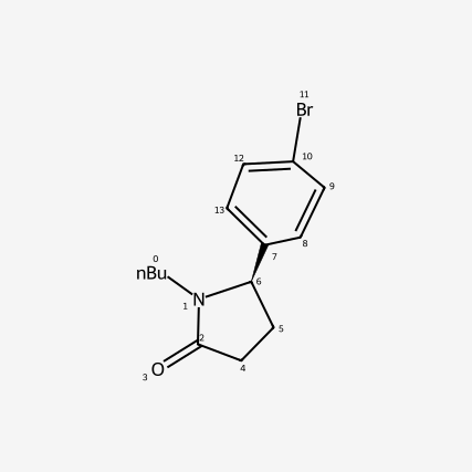 CCCCN1C(=O)CC[C@@H]1c1ccc(Br)cc1